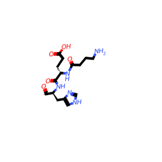 NCCCC(=O)N[C@@H](CCC(=O)O)C(=O)N[C@H]([C]=O)Cc1c[nH]cn1